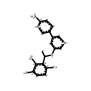 CC(Oc1cncc(-c2ccc(N)nc2)c1)c1c(F)ccc(F)c1Cl